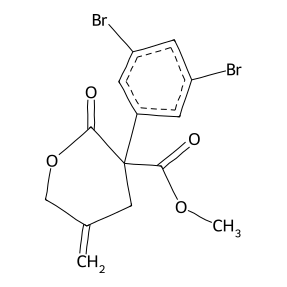 C=C1COC(=O)C(C(=O)OC)(c2cc(Br)cc(Br)c2)C1